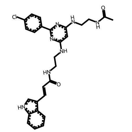 CC(=O)NCCNc1cc(NCCNC(=O)C=Cc2c[nH]c3ccccc23)nc(-c2ccc(Cl)cc2)n1